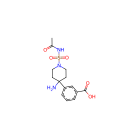 CC(=O)NS(=O)(=O)N1CCC(N)(c2cccc(C(=O)O)c2)CC1